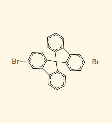 Brc1ccc2c(c1)-c1ccccc1C21c2ccccc2-c2cc(Br)ccc21